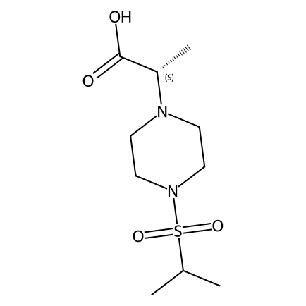 CC(C)S(=O)(=O)N1CCN([C@@H](C)C(=O)O)CC1